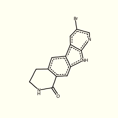 O=C1NCCc2cc3c(cc21)[nH]c1ncc(Br)cc13